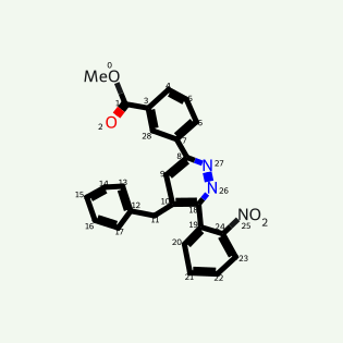 COC(=O)c1cccc(-c2cc(Cc3ccccc3)c(-c3ccccc3[N+](=O)[O-])nn2)c1